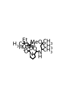 CCC(C)(CC(C)(CC)OC(=O)N1CCCC1C(=O)NC(C)CC(C)(C)OC)OC